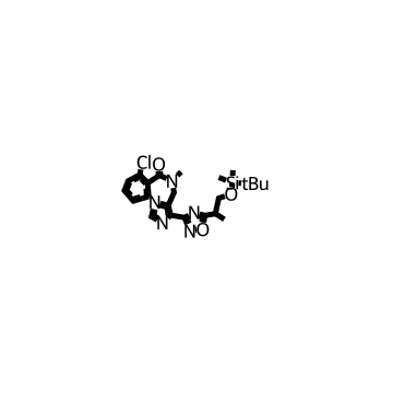 CC(CO[Si](C)(C)C(C)(C)C)c1nc(-c2ncn3c2CN(C)C(=O)c2c(Cl)cccc2-3)no1